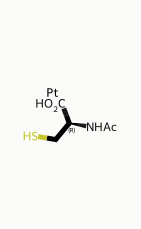 CC(=O)N[C@@H](CS)C(=O)O.[Pt]